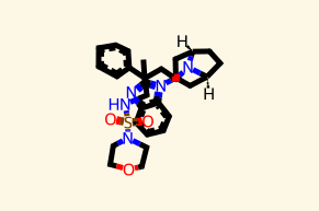 Cc1nc2ccccc2n1C1C[C@H]2CC[C@@H](C1)N2CCC(CNS(=O)(=O)N1CCOCC1)c1ccccc1